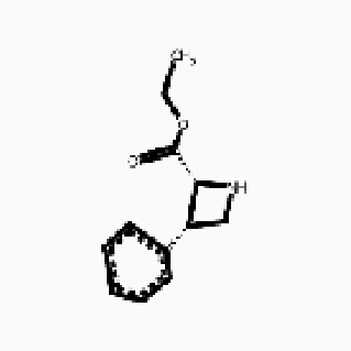 CCOC(=O)[C@@H]1NC[C@@H]1c1ccccc1